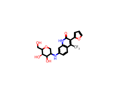 O=c1[nH]c2cc(NC3COC(CO)[C@H](O)C3O)ccc2c(C(F)(F)F)c1-c1ccco1